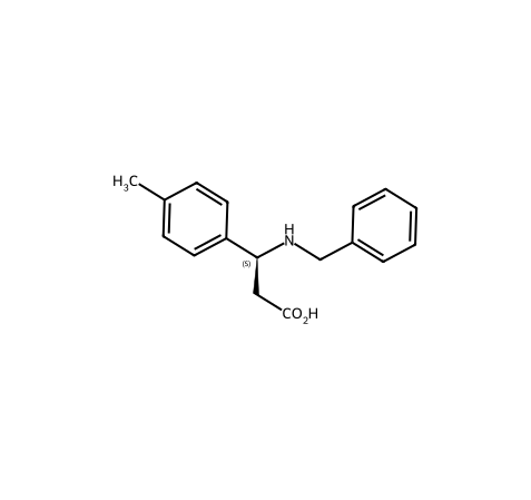 Cc1ccc([C@H](CC(=O)O)NCc2ccccc2)cc1